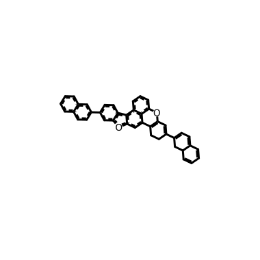 C1=CC2=CC=C(C3=CC4=C(CC3)c3cc5oc6cc(-c7ccc8ccccc8c7)ccc6c5c5cccc(c35)O4)CC2C=C1